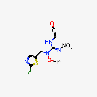 CC(C)ON(Cc1cnc(Cl)s1)C(=N[N+](=O)[O-])NC=C=O